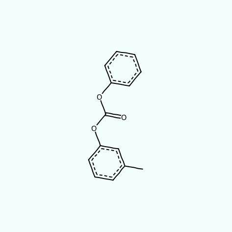 Cc1cccc(OC(=O)Oc2ccccc2)c1